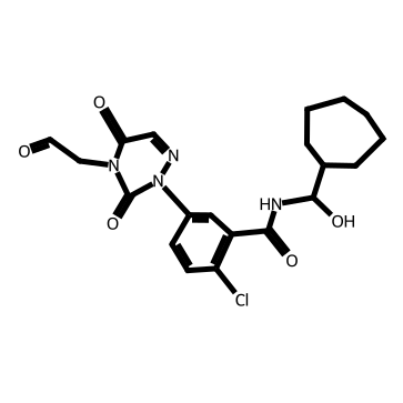 O=CCn1c(=O)cnn(-c2ccc(Cl)c(C(=O)NC(O)C3CCCCCC3)c2)c1=O